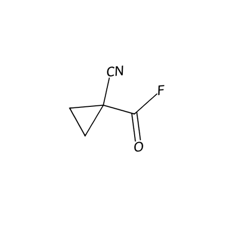 N#CC1(C(=O)F)CC1